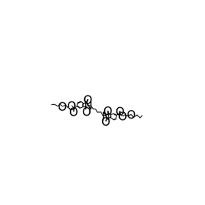 CCCCOCCOC(=O)c1ccc2c(c1)C(=O)N(CCCCCCN1C(=O)c3ccc(C(=O)OCCOCCCC)cc3C1=O)C2=O